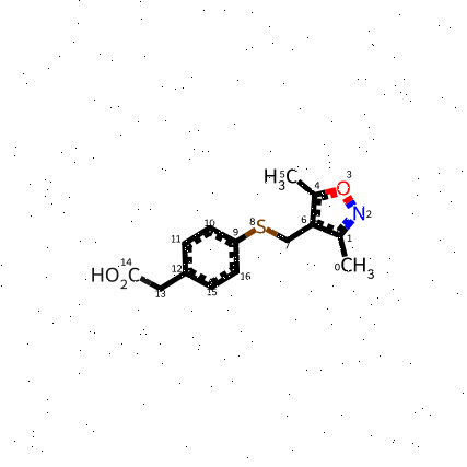 Cc1noc(C)c1CSc1ccc(CC(=O)O)cc1